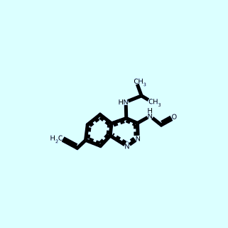 C=Cc1ccc2c(NC(C)C)c(NC=O)nnc2c1